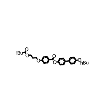 CCCCOc1ccc(-c2ccc(OC(=O)c3ccc(OCCCOC(=O)C(C)CC)cc3)cc2)cc1